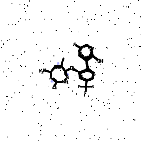 CC1=C/C(N)/N=C(/Cl)N/N=C\1Oc1cc(C(F)(F)F)ccc1-c1cc(F)cnc1O